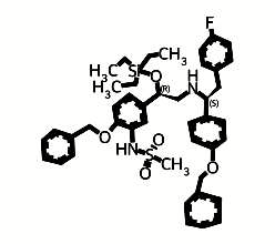 CC[Si](CC)(CC)O[C@@H](CN[C@@H](Cc1ccc(F)cc1)c1ccc(OCc2ccccc2)cc1)c1ccc(OCc2ccccc2)c(NS(C)(=O)=O)c1